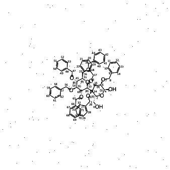 OC[C@H]1O[C@H](O)[C@H](OCc2ccccc2)[C@@H](OCc2ccccc2)[C@@]1(OCc1ccccc1)[C@@H]1O[C@H](COCc2ccccc2)[C@@H](OCc2ccccc2)[C@H](OCc2ccccc2)[C@H]1OCc1ccccc1